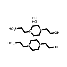 Cl.Cl.O=S(=O)(O)CCN1CCN(CCO)CC1.O=S(=O)(O)CCN1CCN(CCO)CC1